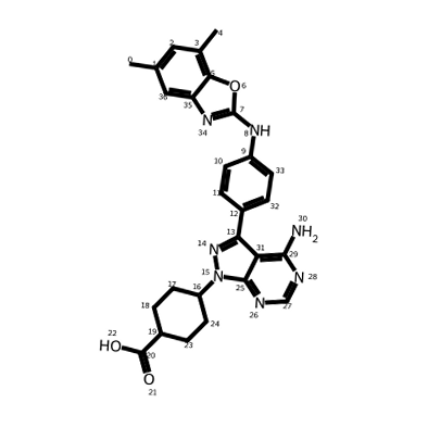 Cc1cc(C)c2oc(Nc3ccc(-c4nn(C5CCC(C(=O)O)CC5)c5ncnc(N)c45)cc3)nc2c1